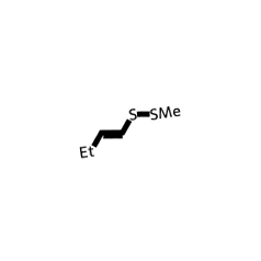 CCC=CSSC